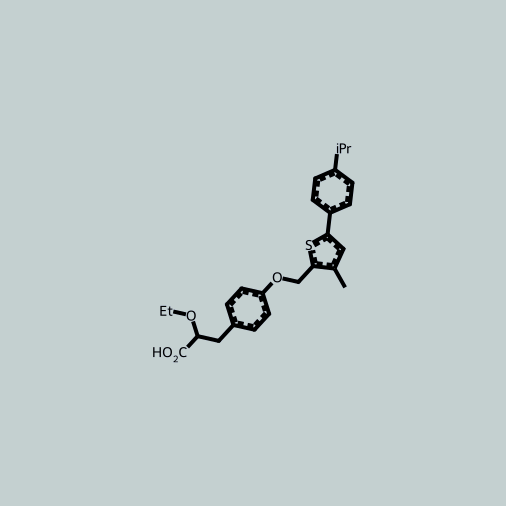 CCOC(Cc1ccc(OCc2sc(-c3ccc(C(C)C)cc3)cc2C)cc1)C(=O)O